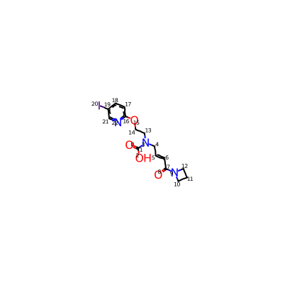 O=C(O)N(C/C=C/C(=O)N1CCC1)CCOc1ccc(I)cn1